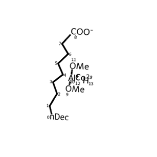 CCCCCCCCCCCCCCCCCC(=O)[O-].C[O][Al+][O]C.[Co+2].[H-]